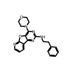 c1ccc(CCNc2nc(N3CCOCC3)c3oc4ncccc4c3n2)cc1